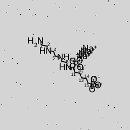 NCCNCCNCCNC(CCCCCP(=O)([O-])[O-])P(=O)([O-])[O-].[Na+].[Na+].[Na+].[Na+]